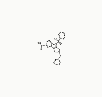 O=C(O)c1ccc2c(c1)c1c(n2S(=O)(=O)c2ccccc2)CN(Cc2ccccc2)C1